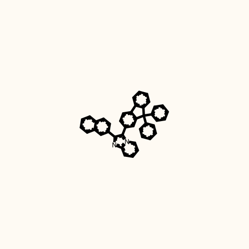 c1ccc(C2(c3ccccc3)c3ccccc3-c3ccc(-c4c(-c5ccc6ccccc6c5)nc5ccccn45)cc32)cc1